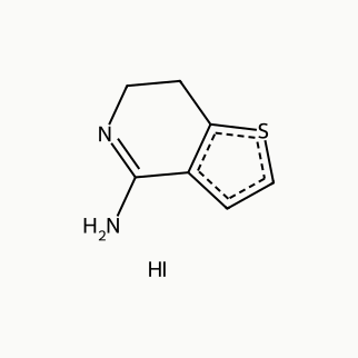 I.NC1=NCCc2sccc21